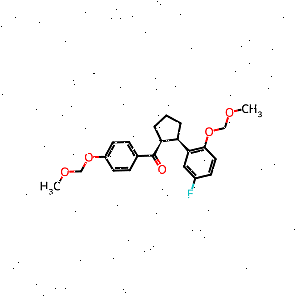 COCOc1ccc(C(=O)[C@H]2CCC[C@H]2c2cc(F)ccc2OCOC)cc1